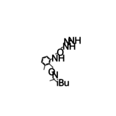 CCC(C)C(C)=NOCc1c(C)cccc1NCOCNN=N